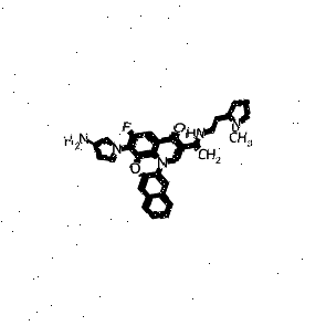 C=C(NCCC1CCCN1C)c1cn2c3c(c(N4CC[C@@H](N)C4)c(F)cc3c1=O)Oc1cc3ccccc3cc1-2